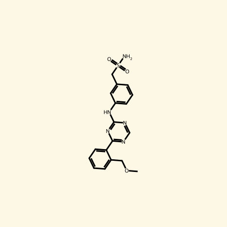 COCc1ccccc1-c1ncnc(Nc2cccc(CS(N)(=O)=O)c2)n1